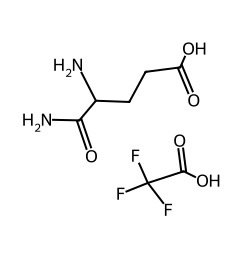 NC(=O)C(N)CCC(=O)O.O=C(O)C(F)(F)F